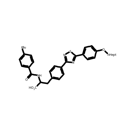 CCCCCCCOc1ccc(-c2nc(-c3ccc(CC(NC(=O)c4ccc(C(C)(C)C)cc4)C(=O)O)cc3)ns2)cc1